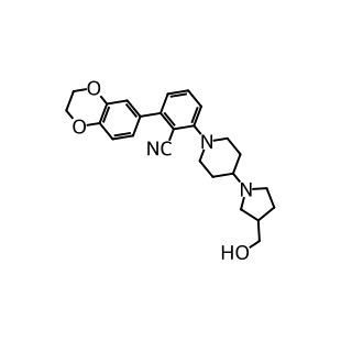 N#Cc1c(-c2ccc3c(c2)OCCO3)cccc1N1CCC(N2CCC(CO)C2)CC1